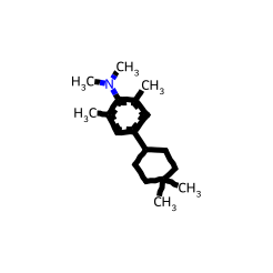 Cc1cc(C2CCC(C)(C)CC2)cc(C)c1N(C)C